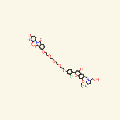 CCOc1cc2oc(-c3ccc(OCCOCCOCCOCCOc4ccc5c(c4)C(=O)N(C4CCC(=O)NC4=O)C5=O)cc3Cl)cc(=O)c2cc1CN1CCCC1CO